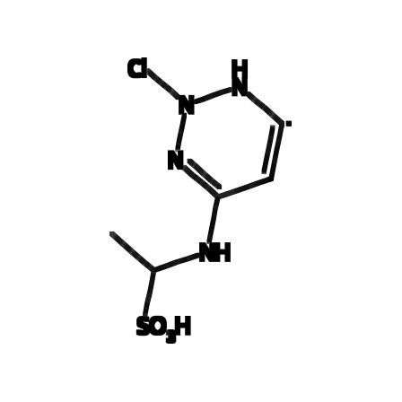 CC(NC1=NN(Cl)N[C]=C1)S(=O)(=O)O